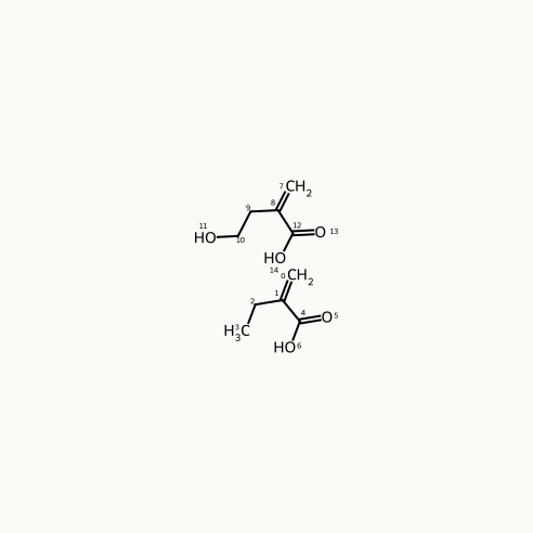 C=C(CC)C(=O)O.C=C(CCO)C(=O)O